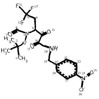 CC(C)(C)ON(C=O)C(CC(F)(F)F)C(=O)C(=O)NCc1ccc([N+](=O)[O-])cc1